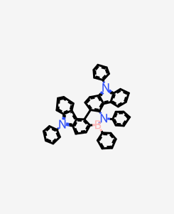 c1ccc(B2c3ccc4c(c3-c3ccc5c(c3N2c2ccccc2)c2ccccc2n5-c2ccccc2)c2ccccc2n4-c2ccccc2)cc1